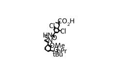 CCCOC(c1cccc(-c2csc(NC(=O)c3cc(Cl)c(/C=C(\C)C(=O)O)c(Cl)c3)n2)c1OC)C(C)(C)C